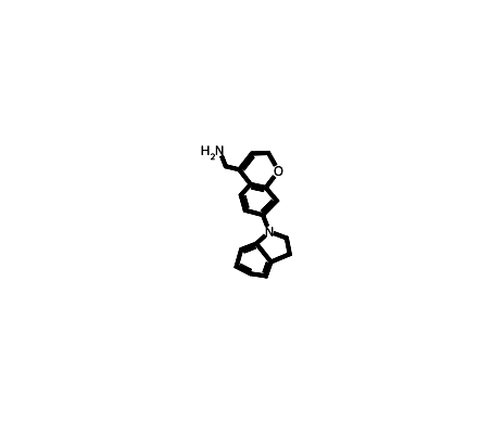 NCC1=CCOc2cc(N3CCc4ccccc43)ccc21